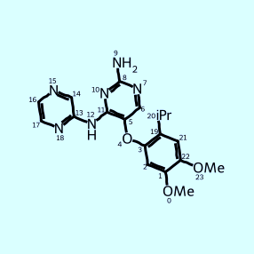 COc1cc(Oc2cnc(N)nc2Nc2cnccn2)c(C(C)C)cc1OC